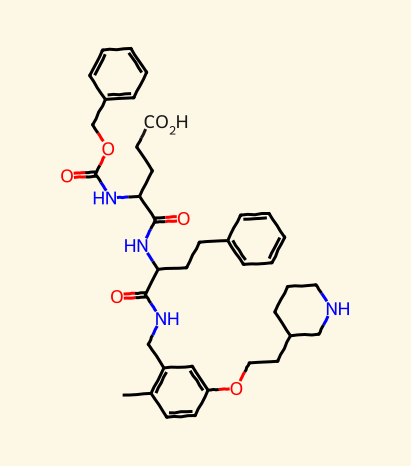 Cc1ccc(OCCC2CCCNC2)cc1CNC(=O)C(CCc1ccccc1)NC(=O)C(CCC(=O)O)NC(=O)OCc1ccccc1